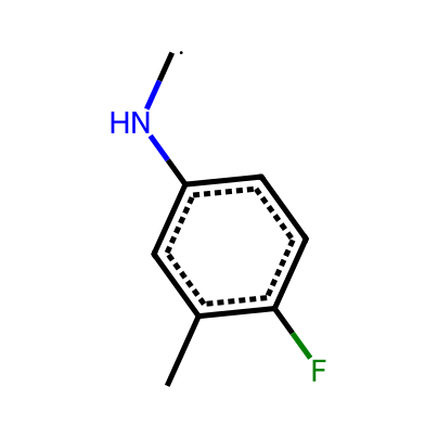 [CH2]Nc1ccc(F)c(C)c1